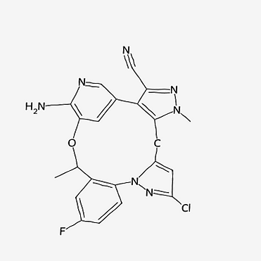 CC1Oc2cc(cnc2N)-c2c(C#N)nn(C)c2Cc2cc(Cl)nn2-c2ccc(F)cc21